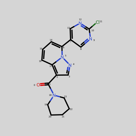 O=C(c1cnn2c(-c3cnc(Cl)nc3)cccc12)N1CCCCC1